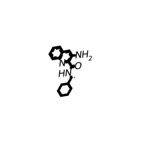 Nc1cc2ccccc2nc1C(=O)N[CH]C1CCCCC1